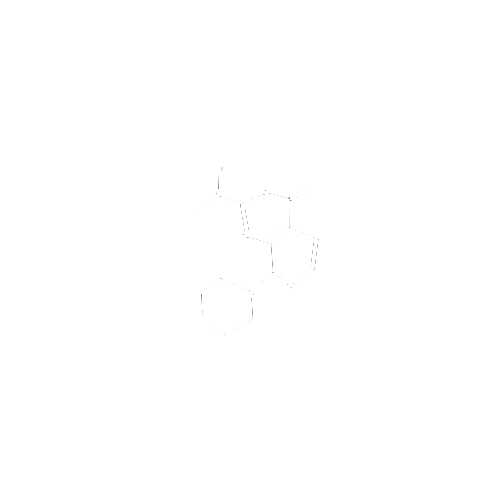 CCCN(CCC)c1nc2c(N3CCSCC3)nccc2c(=O)[nH]1